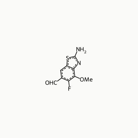 COc1c(F)c(C=O)cc2sc(N)nc12